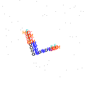 N#[N+]c1ccccc1.N#[N+]c1ccccc1.N#[N+]c1ccccc1.N#[N+]c1ccccc1.N#[N+]c1ccccc1.N#[N+]c1ccccc1.O=[PH]([O-])F.O=[PH]([O-])F.O=[PH]([O-])F.O=[PH]([O-])F.O=[PH]([O-])F.O=[PH]([O-])F